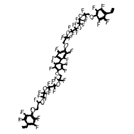 C=Cc1c(F)c(F)c(OCC(F)OC(F)(F)C(F)(F)OC(F)(F)C(F)(F)OC(F)(F)COc2c(F)c(F)c(-c3c(F)c(F)c(OCC(F)(F)OC(F)(F)C(F)(F)OC(F)(F)C(F)(F)OC(F)(F)COc4c(F)c(F)c(C=C)c(F)c4F)c(F)c3F)c(F)c2F)c(F)c1F